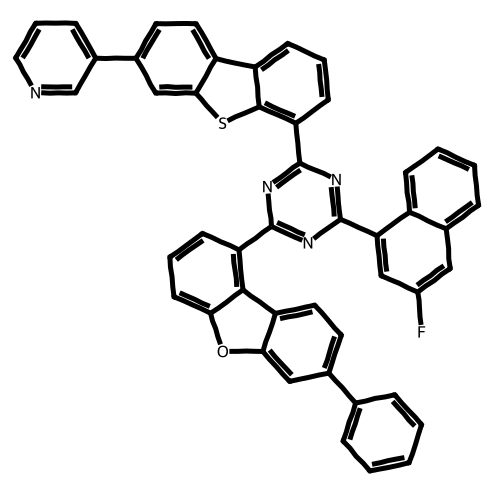 Fc1cc(-c2nc(-c3cccc4c3sc3cc(-c5cccnc5)ccc34)nc(-c3cccc4oc5cc(-c6ccccc6)ccc5c34)n2)c2ccccc2c1